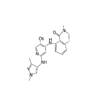 Cc1nn(C)cc1Nc1cc(Nc2cccc3c2C(=O)N(C)CC3)c(C#N)cn1